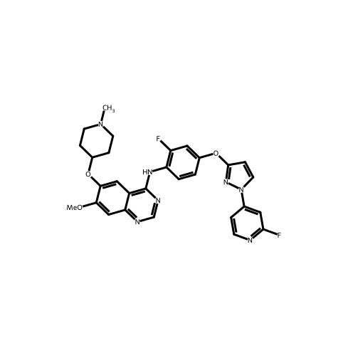 COc1cc2ncnc(Nc3ccc(Oc4ccn(-c5ccnc(F)c5)n4)cc3F)c2cc1OC1CCN(C)CC1